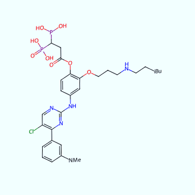 CCC(C)CCNCCCOc1cc(Nc2ncc(Cl)c(-c3cccc(NC)c3)n2)ccc1OC(=O)CC(P(O)O)P(=O)(O)O